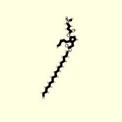 CC/C=C\CC1C(CC(=O)OCCCCCCCCCCCCCCCCCC)CCC1OC(=O)CCCN(C)C